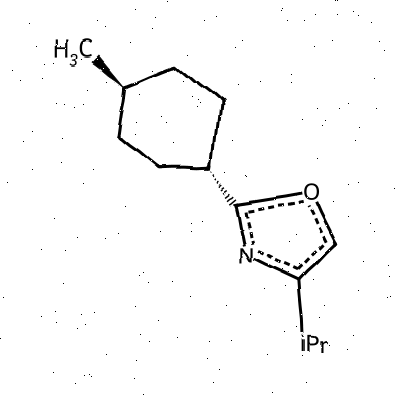 CC(C)c1coc([C@H]2CC[C@H](C)CC2)n1